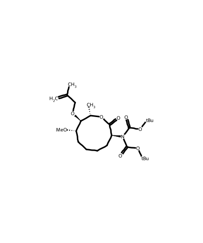 C=C(C)CO[C@H]1[C@H](C)OC(=O)[C@@H](N(C(=O)OC(C)(C)C)C(=O)OC(C)(C)C)CCCC[C@@H]1OC